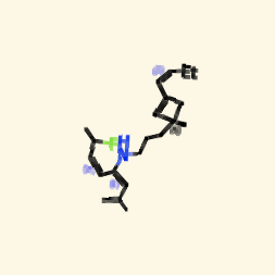 C=C(C)/C=C(\C=C/C(C)F)NCCC[C@]1(C)C=C(/C=C\CC)C1